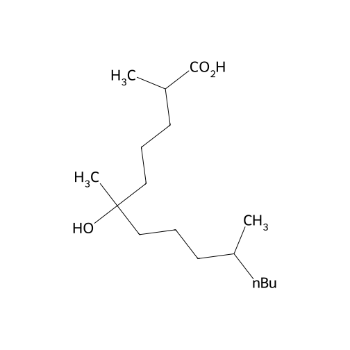 CCCCC(C)CCCC(C)(O)CCCC(C)C(=O)O